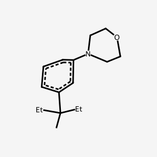 CCC(C)(CC)c1cccc(N2CCOCC2)c1